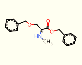 CN[C@@H](COCc1ccccc1)C(=O)OCc1ccccc1